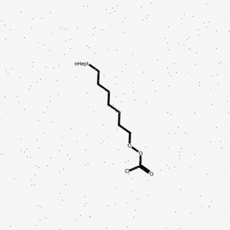 CCCCCCCCCCCCCCOOC(=O)Cl